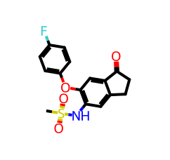 CS(=O)(=O)Nc1cc2c(cc1Oc1ccc(F)cc1)C(=O)CC2